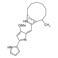 COC1=CC(c2ccc[nH]2)=N/C1=C/c1[nH]c2cc1C(C)CCCCCC2